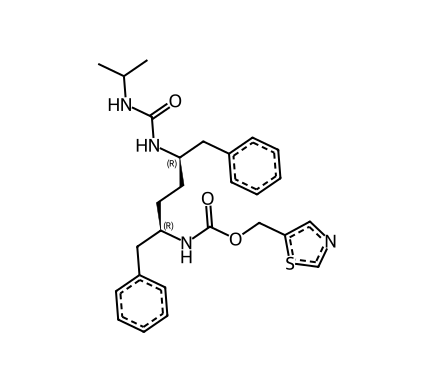 CC(C)NC(=O)N[C@H](CC[C@H](Cc1ccccc1)NC(=O)OCc1cncs1)Cc1ccccc1